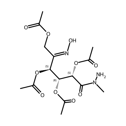 CC(=O)OCC(=NO)[C@H](OC(C)=O)[C@@H](OC(C)=O)[C@H](OC(C)=O)C(=O)N(C)N